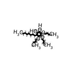 CCCCCCCCc1c(O)c(O)c(OCCCC)c(OCCCC)c1OCCCC